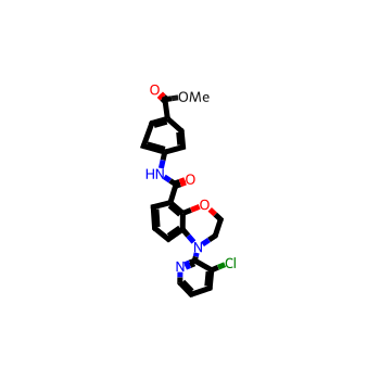 COC(=O)c1ccc(NC(=O)c2cccc3c2OCCN3c2ncccc2Cl)cc1